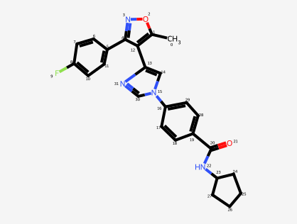 Cc1onc(-c2ccc(F)cc2)c1-c1cn(-c2ccc(C(=O)NC3CCCC3)cc2)cn1